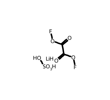 O=C(OF)C(=O)OF.O=S(=O)(O)O.[LiH]